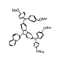 COc1ccc(N(c2ccc(OC)cc2)c2ccc3c(c2)c2cc(N(c4ccc(OC)cc4)c4ccc(OC)cc4)ccc2n3-c2ccc3ccccc3c2)cc1